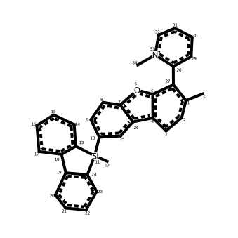 Cc1ccc2c(oc3ccc([Si]4(C)c5ccccc5-c5ccccc54)cc32)c1-c1cccc[n+]1C